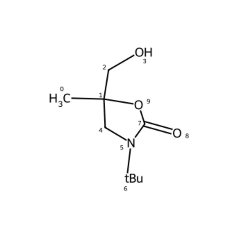 CC1(CO)CN(C(C)(C)C)C(=O)O1